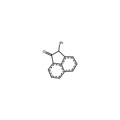 CC(C)C1C(=O)c2cccc3cccc1c23